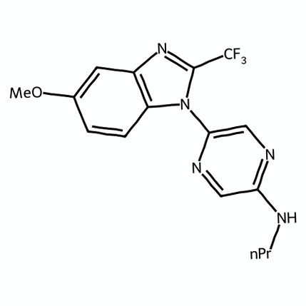 CCCNc1cnc(-n2c(C(F)(F)F)nc3cc(OC)ccc32)cn1